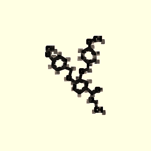 CCOC(=O)c1ccc(OCc2ccc(OC)cc2)c(OCc2ccc(OC)cc2)c1